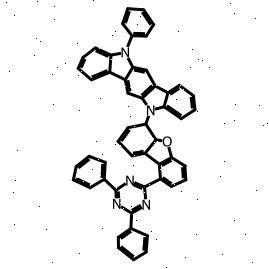 C1=CC(n2c3ccccc3c3cc4c(cc32)c2ccccc2n4-c2ccccc2)C2Oc3cccc(-c4nc(-c5ccccc5)nc(-c5ccccc5)n4)c3C2=C1